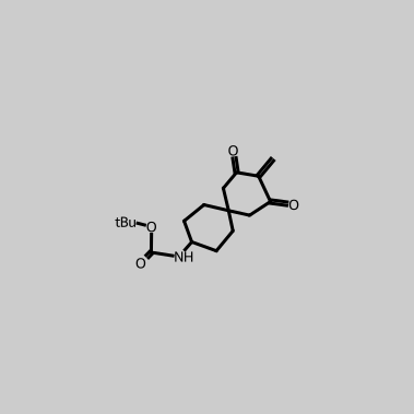 C=C1C(=O)CC2(CCC(NC(=O)OC(C)(C)C)CC2)CC1=O